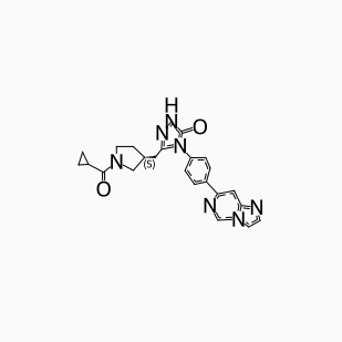 O=C(C1CC1)N1CC[C@@H](Cc2n[nH]c(=O)n2-c2ccc(-c3cc4nccn4cn3)cc2)C1